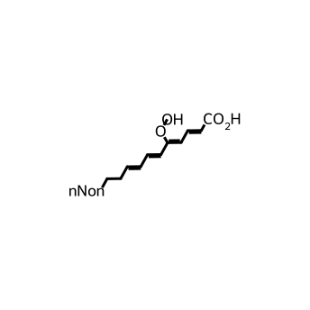 CCCCCCCCCCCC=CC=CC(=CC=CC(=O)O)OO